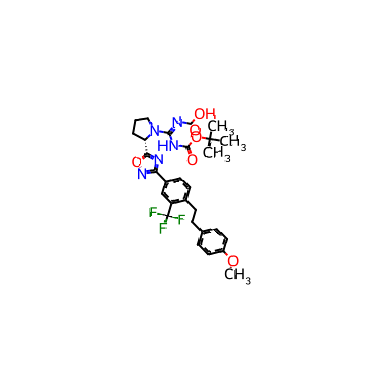 COc1ccc(CCc2ccc(-c3noc([C@@H]4CCCN4/C(=N/C(=O)O)NC(=O)OC(C)(C)C)n3)cc2C(F)(F)F)cc1